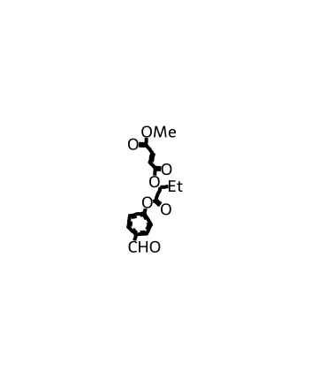 CCC(OC(=O)/C=C/C(=O)OC)C(=O)Oc1ccc(C=O)cc1